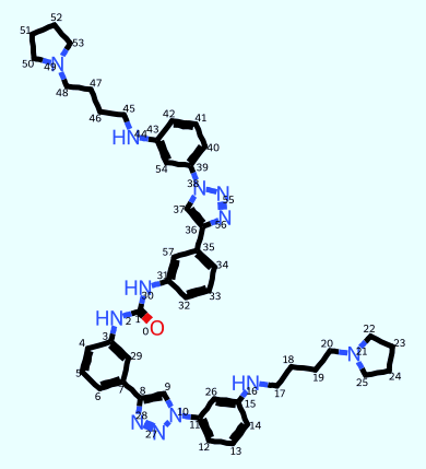 O=C(Nc1cccc(-c2cn(-c3cccc(NCCCCN4CCCC4)c3)nn2)c1)Nc1cccc(-c2cn(-c3cccc(NCCCCN4CCCC4)c3)nn2)c1